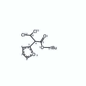 CC(C)(C)OC(=O)C(c1ccco1)C(Cl)Cl